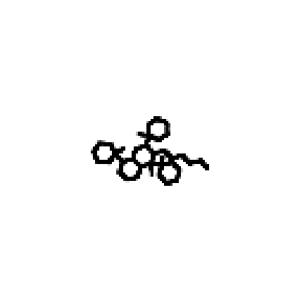 CCCCCCC1C(C2(C)CCCCC2)CC2C(C3(C)CCCCC3)CCCC2C1(C)C1(C)CCCCC1